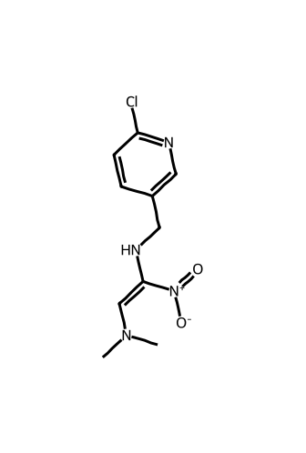 CN(C)C=C(NCc1ccc(Cl)nc1)[N+](=O)[O-]